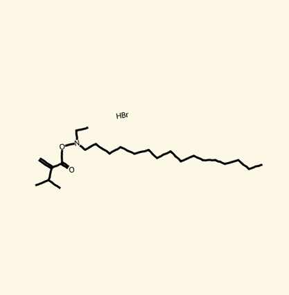 Br.C=C(C(=O)ON(CC)CCCCCCCCCCCCCCCC)C(C)C